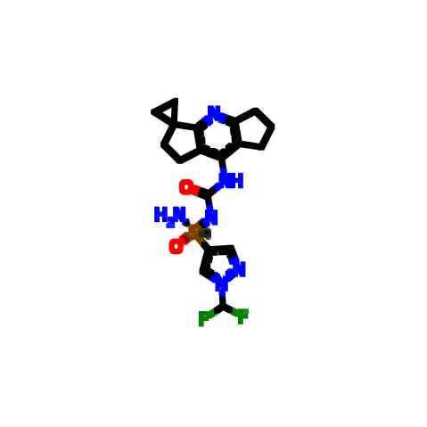 N[S@@](=O)(=NC(=O)Nc1c2c(nc3c1CCC31CC1)CCC2)c1cnn(C(F)F)c1